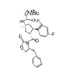 CC(C)(C)OC(=O)N[C@]1(C)C[C@@H](C(=O)N2C(=O)OC[C@@H]2Cc2ccccc2)[C@H](c2ccc(F)cc2F)C1